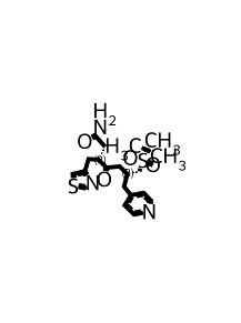 CC(C)(C)S(=O)(=O)C[C@@H](CC(=O)[C@@H](CC(N)=O)Cc1cscn1)Cc1ccncc1